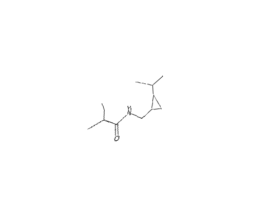 CC(C)C(=O)NCC1CC1C(C)C